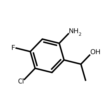 CC(O)c1cc(Cl)c(F)cc1N